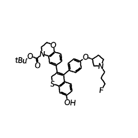 CC(C)(C)OC(=O)N1CCOc2ccc(C3=C(c4ccc(O[C@H]5CCN(CCCF)C5)cc4)c4ccc(O)cc4SC3)cc21